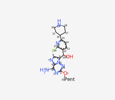 CCCC(C)Oc1nc(N)c2ncc(C(O)c3ccc(C4CCNCC4)nc3F)n2n1